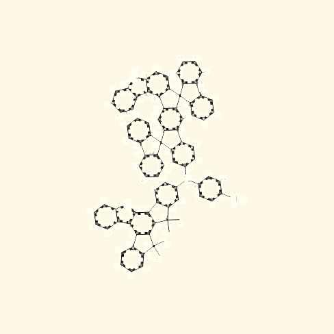 CC(C)(C)c1ccc(N(c2ccc3c(c2)C(C)(C)c2c4c(c5c(oc6ccccc65)c2-3)-c2ccccc2C4(C)C)c2ccc3c(c2)C2(c4ccccc4-c4ccccc42)c2cc4c(cc2-3)C2(c3ccccc3-c3ccccc32)c2ccc3oc5ccccc5c3c2-4)cc1